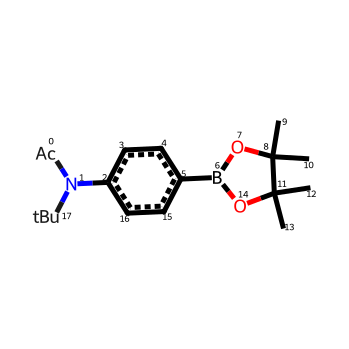 CC(=O)N(c1ccc(B2OC(C)(C)C(C)(C)O2)cc1)C(C)(C)C